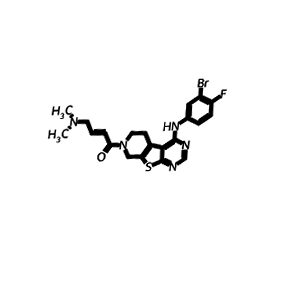 CN(C)CC=CC(=O)N1CCc2c(sc3ncnc(Nc4ccc(F)c(Br)c4)c23)C1